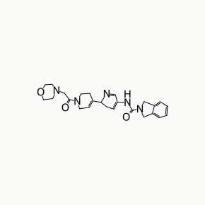 O=C(CN1CCOCC1)N1CC=C(C2CC=C(NC(=O)N3Cc4ccccc4C3)C=N2)CC1